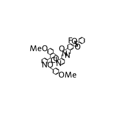 COc1ccc(COc2ncccc2C(Cl)c2cc(OC)ccc2COc2ncccc2Cn2ncc3cc(S(=O)(=O)c4ccccc4)c(F)cc3c2=O)cc1